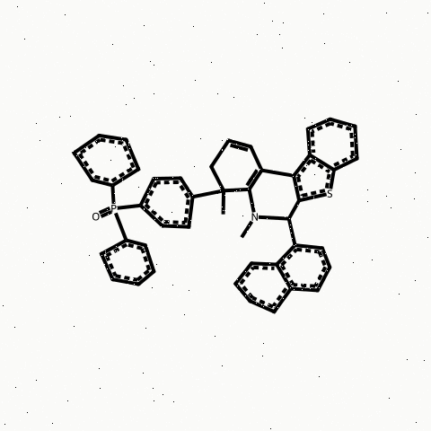 CN1C2=C(C=CCC2(C)c2ccc(P(=O)(c3ccccc3)c3ccccc3)cc2)c2c(sc3ccccc23)C1c1cccc2ccccc12